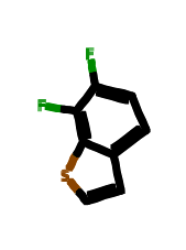 Fc1ccc2ccsc2c1F